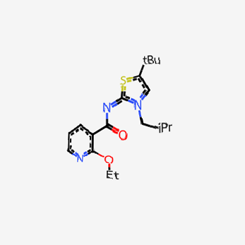 CCOc1ncccc1C(=O)N=c1sc(C(C)(C)C)cn1CC(C)C